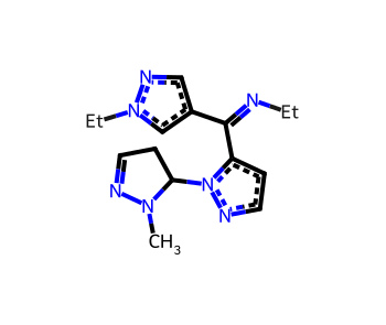 CC/N=C(/c1cnn(CC)c1)c1ccnn1C1CC=NN1C